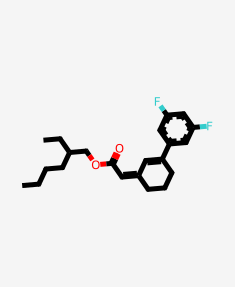 CCCCC(CC)COC(=O)C=C1C=C(c2cc(F)cc(F)c2)CCC1